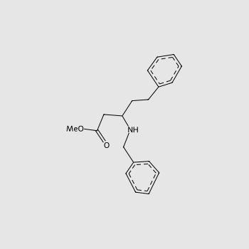 COC(=O)CC(CCc1ccccc1)NCc1ccccc1